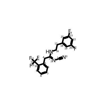 N#CN=C(Cc1ccccc1C(F)(F)F)NCCc1cc(F)cc(F)c1